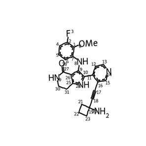 COc1c(F)cccc1Nc1c(-c2ccncc2C#CC2(N)CCC2)[nH]c2c1C(=O)NCC2